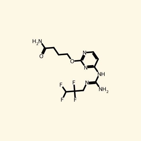 NC(=O)CCCOc1nccc(NC(N)=NCC(F)(F)C(F)F)n1